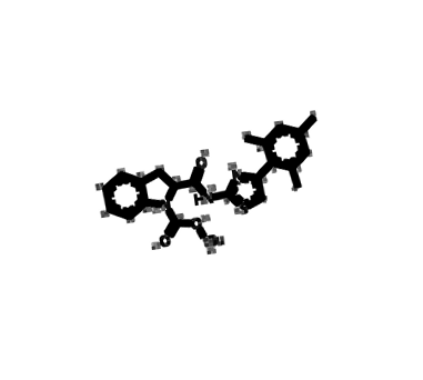 Cc1cc(C)c(-c2csc(NC(=O)C3Cc4ccccc4N3C(=O)OC(C)(C)C)n2)c(C)c1